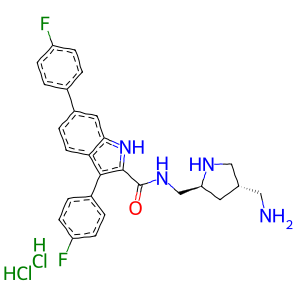 Cl.Cl.NC[C@H]1CN[C@H](CNC(=O)c2[nH]c3cc(-c4ccc(F)cc4)ccc3c2-c2ccc(F)cc2)C1